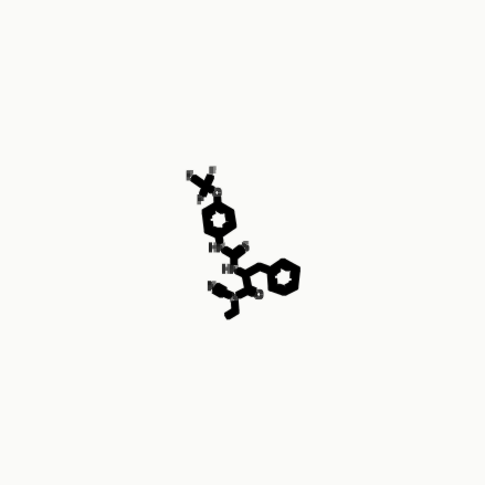 CCN(C#N)C(=O)C(Cc1ccccc1)NC(=S)Nc1ccc(OC(F)(F)F)cc1